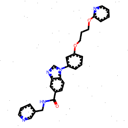 O=C(NCc1cccnc1)c1ccc2c(c1)ncn2-c1cccc(OCCCOc2ccccn2)c1